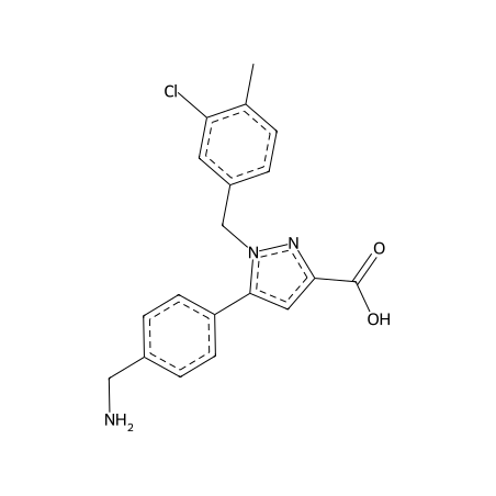 Cc1ccc(Cn2nc(C(=O)O)cc2-c2ccc(CN)cc2)cc1Cl